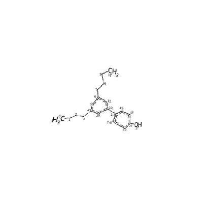 CCCCc1cc(CCCC)cc(-c2ccc(O)cc2)c1